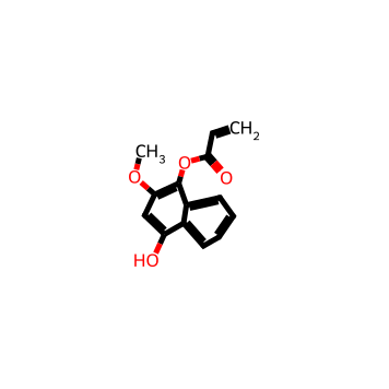 C=CC(=O)Oc1c(OC)cc(O)c2ccccc12